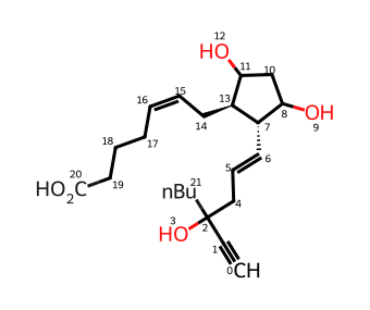 C#CC(O)(C/C=C/[C@H]1C(O)CC(O)[C@@H]1C/C=C\CCCC(=O)O)CCCC